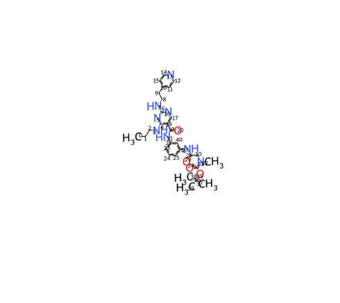 CCCNc1nc(NCCc2ccncc2)ncc1C(=O)Nc1cccc(NC(=O)CN(C)C(=O)OC(C)(C)C)c1